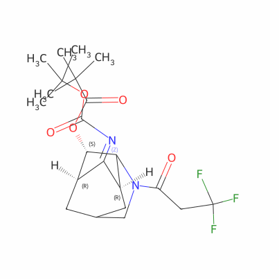 CC(C)(C)OC(=O)/N=C1\[C@H]2CC3C[C@@H]1C([C@H]2OC(=O)C(C)(C)C)N(C(=O)CC(F)(F)F)C3